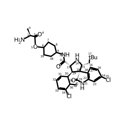 C[C@H](N)C(=O)OC1CCC(NC(=O)[C@@H]2N[C@H](CC(C)(C)C)[C@]3(C(=O)Nc4cc(Cl)ccc43)[C@H]2C2C=CC=C(Cl)C2F)CC1